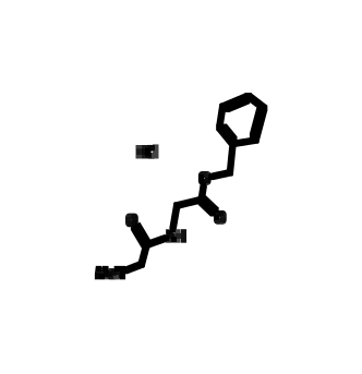 CNCC(=O)NCC(=O)OCc1ccccc1.Cl